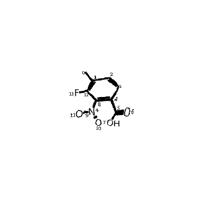 Cc1ccc(C(=O)O)c([N+](=O)[O-])c1F